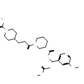 CCOc1cncc([C@H](CC(=O)OC(C)(C)C)NC(=O)[C@@H]2CCCN(C(=O)CCC3CCN(C(=O)OC(C)(C)C)CC3)C2)c1